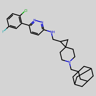 Fc1ccc(Cl)c(-c2ccc(NCC3CC34CCN(CC35CC6CC(CC(C6)C3)C5)CC4)nn2)c1